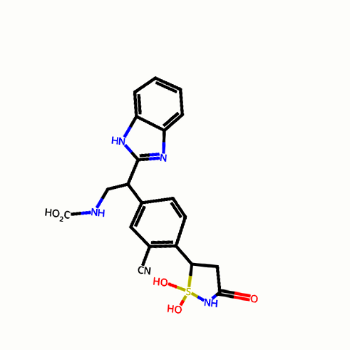 N#Cc1cc(C(CNC(=O)O)c2nc3ccccc3[nH]2)ccc1C1CC(=O)NS1(O)O